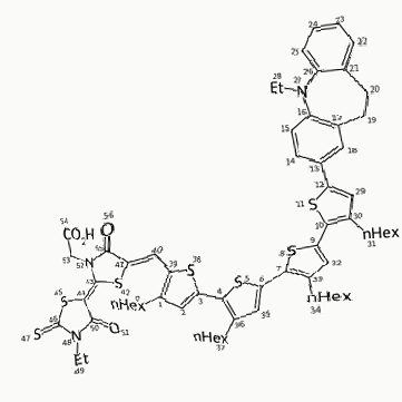 CCCCCCc1cc(-c2sc(-c3sc(-c4sc(-c5ccc6c(c5)CCc5ccccc5N6CC)cc4CCCCCC)cc3CCCCCC)cc2CCCCCC)sc1/C=c1\s/c(=C2/SC(=S)N(CC)C2=O)n(CC(=O)O)c1=O